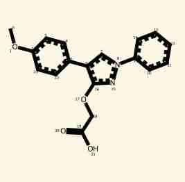 COc1ccc(-c2cn(-c3ccccc3)nc2OCC(=O)O)cc1